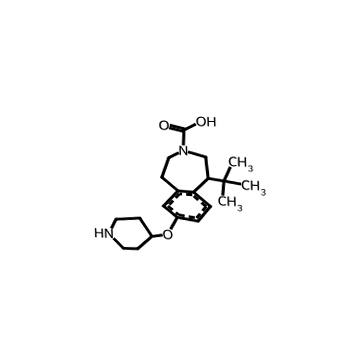 CC(C)(C)C1CN(C(=O)O)CCc2cc(OC3CCNCC3)ccc21